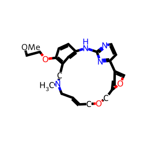 COCCOc1ccc2cc1CN(C)C/C=C/COCc1cc(co1)-c1ccnc(n1)N2